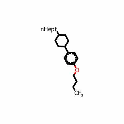 CCCCCCCC1CCC(c2ccc(OCCCC(F)(F)F)cc2)CC1